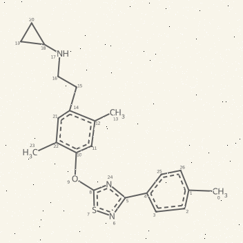 Cc1ccc(-c2nsc(Oc3cc(C)c(CCNC4CC4)cc3C)n2)cc1